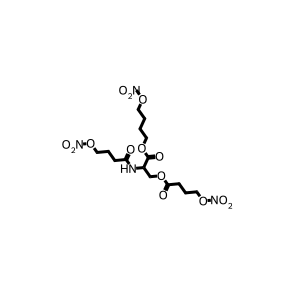 O=C(CCCO[N+](=O)[O-])NC(COC(=O)CCCO[N+](=O)[O-])C(=O)OCCCCO[N+](=O)[O-]